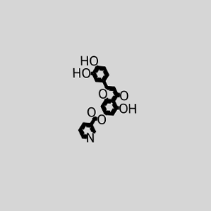 O=C(Oc1cc(O)c2c(=O)cc(-c3ccc(O)c(O)c3)oc2c1)c1cccnc1